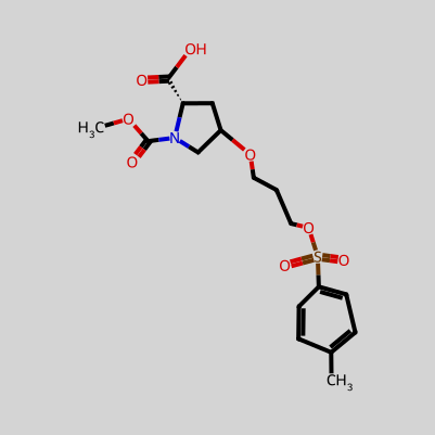 COC(=O)N1CC(OCCCOS(=O)(=O)c2ccc(C)cc2)C[C@H]1C(=O)O